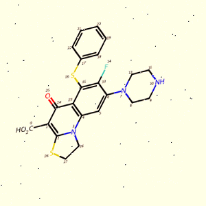 O=C(O)c1c2n(c3cc(N4CCNCC4)c(F)c(Sc4ccccc4)c3c1=O)CCS2